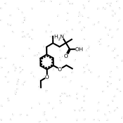 CCOc1ccc(CC(C)CC(C)(N)C(=O)O)cc1OCC